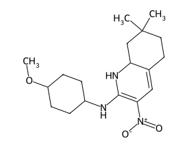 COC1CCC(NC2=C([N+](=O)[O-])C=C3CCC(C)(C)CC3N2)CC1